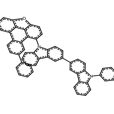 c1ccc(-c2ccc3c(c2)c2c(-n4c5ccccc5c5cc(-c6ccc7c(c6)c6ccccc6n7-c6ccccc6)ccc54)ccc4oc5cccc3c5c42)cc1